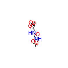 CO[Si](CCCNC(=O)CNC(=O)OC(C)(C)C)(OC)OC